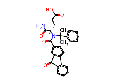 CC(C)(c1ccccc1)N(C(=O)c1ccc2c(c1)C(=O)c1ccccc1-2)[C@@H](CCC(=O)O)C(N)=O